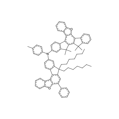 CCCCCCCC1(CCCCCCC)c2cc(N(c3ccc(C)cc3)c3ccc4c(c3)C(C)(C)c3c5c(c6oc7ccccc7c6c3-4)-c3ccccc3C5(C)C)ccc2-c2c1cc(-c1ccccc1)c1oc3ccccc3c21